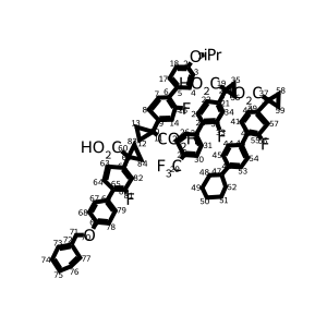 CC(C)Oc1ccc(-c2ccc(C3(C(=O)O)CC3)cc2F)cc1.O=C(O)C1(c2ccc(-c3ccc(C(F)(F)F)cc3)c(F)c2)CC1.O=C(O)C1(c2ccc(-c3ccc(C4CCCCC4)cc3)c(F)c2)CC1.O=C(O)C1(c2ccc(-c3ccc(OCc4ccccc4)cc3)c(F)c2)CC1